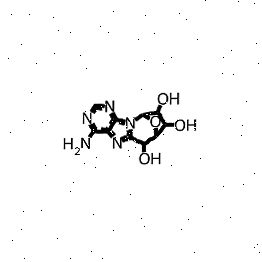 Nc1ncnc2c1nc1n2C2OC(C1O)C(O)C2O